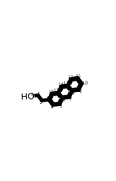 OCCc1ccc2cc3ccccc3cc2c1